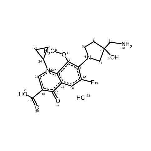 COc1c(N2CCC(O)(CN)C2)c(F)cc2c(=O)c(C(=O)O)cn(C3CC3)c12.Cl